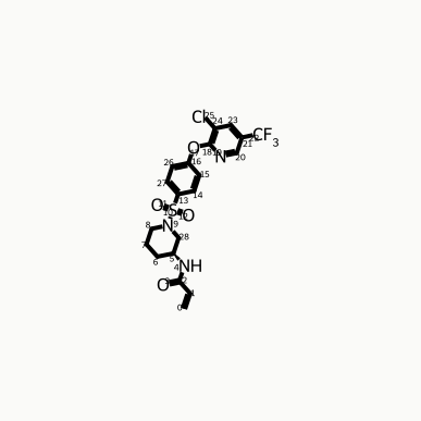 C=CC(=O)N[C@H]1CCCN(S(=O)(=O)c2ccc(Oc3ncc(C(F)(F)F)cc3Cl)cc2)C1